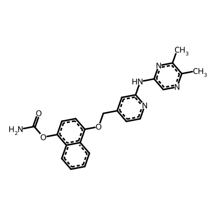 Cc1ncc(Nc2cc(COc3ccc(OC(N)=O)c4ccccc34)ccn2)nc1C